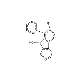 OC1c2ccccc2-c2ccc(Br)c(-c3ccccc3)c21